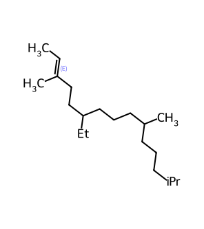 C/C=C(\C)CCC(CC)CCCC(C)CCCC(C)C